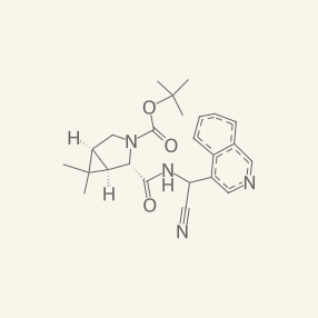 CC(C)(C)OC(=O)N1C[C@H]2[C@@H]([C@H]1C(=O)NC(C#N)c1cncc3ccccc13)C2(C)C